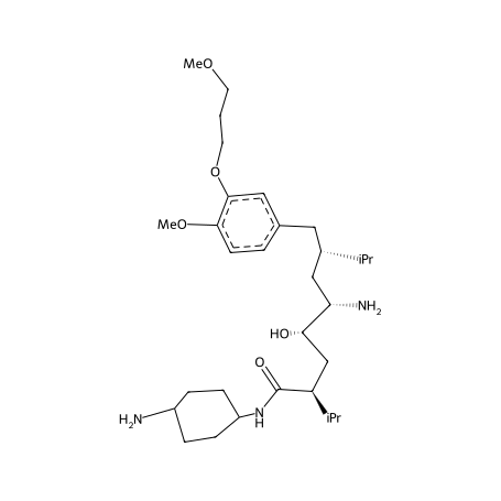 COCCCOc1cc(C[C@@H](C[C@H](N)[C@@H](O)C[C@H](C(=O)NC2CCC(N)CC2)C(C)C)C(C)C)ccc1OC